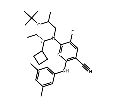 CC[C@@H](C1CCC1)N(CC(C)OC(C)(C)C)c1nc(Nc2cc(C)cc(C)c2)c(C#N)cc1F